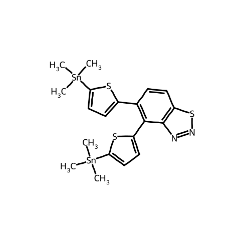 [CH3][Sn]([CH3])([CH3])[c]1ccc(-c2ccc3snnc3c2-c2cc[c]([Sn]([CH3])([CH3])[CH3])s2)s1